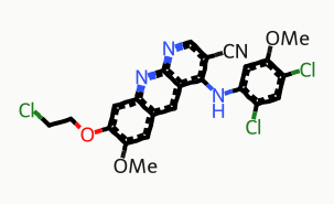 COc1cc(Nc2c(C#N)cnc3nc4cc(OCCCl)c(OC)cc4cc23)c(Cl)cc1Cl